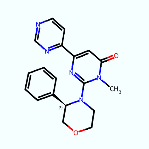 Cn1c(N2CCOC[C@H]2c2ccccc2)nc(-c2ccncn2)cc1=O